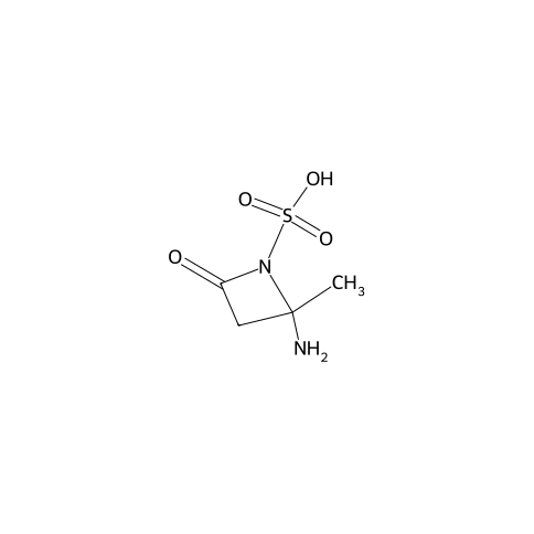 CC1(N)CC(=O)N1S(=O)(=O)O